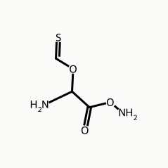 NOC(=O)C(N)OC=S